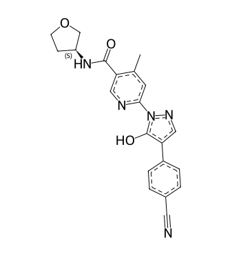 Cc1cc(-n2ncc(-c3ccc(C#N)cc3)c2O)ncc1C(=O)N[C@H]1CCOC1